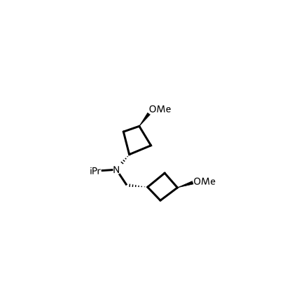 CO[C@H]1C[C@H](CN(C(C)C)[C@H]2C[C@H](OC)C2)C1